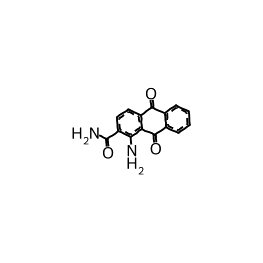 NC(=O)c1ccc2c(c1N)C(=O)c1ccccc1C2=O